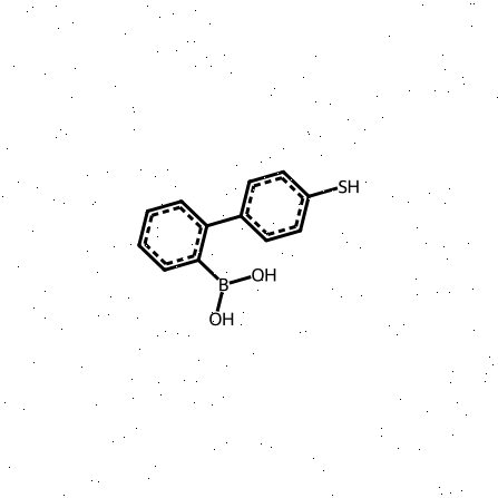 OB(O)c1ccccc1-c1ccc(S)cc1